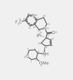 COC1COCCC1N[C@@H]1C=C[C@@](C(=O)N2CCc3ncc(C(F)(F)F)cc3C2)(C(C)C)C1